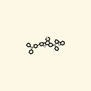 c1ccc(N(c2ccccc2)c2ccc(-c3ccc4c(c3)oc3c5ccc(N(c6ccccc6)c6cccc7c6oc6ccccc67)cc5c5ccccc5c43)cc2)cc1